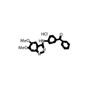 COc1cc2ncnc(Nc3ccc(C(=O)c4ccccc4)cc3)c2cc1OC.Cl